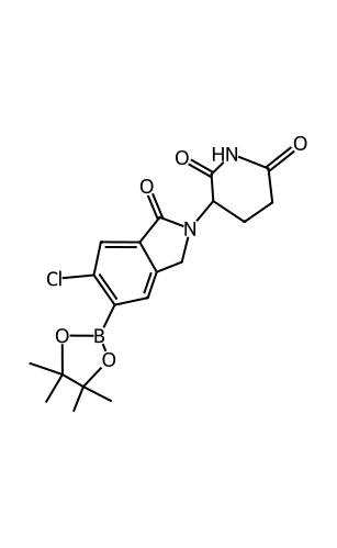 CC1(C)OB(c2cc3c(cc2Cl)C(=O)N(C2CCC(=O)NC2=O)C3)OC1(C)C